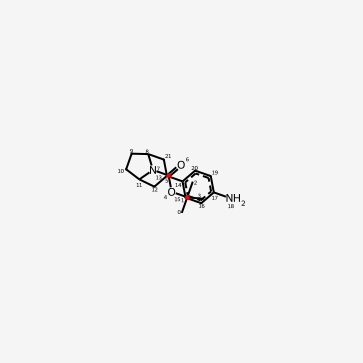 CC(C)(C)OC(=O)N1C2CCC1CC(c1ccc(N)cc1)C2